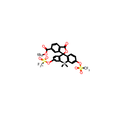 CC(C)(C)OC(=O)c1ccc2c(c1)C1(OC2=O)c2ccc(OS(=O)(=O)C(F)(F)F)cc2[Si](C)(C)c2cc(OS(=O)(=O)C(F)(F)F)ccc21